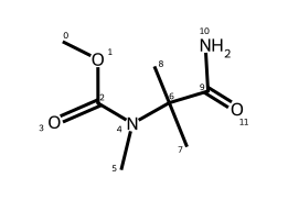 COC(=O)N(C)C(C)(C)C(N)=O